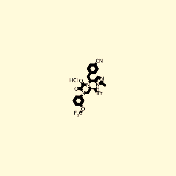 Cc1ncc(C(Cc2ccc(C#N)cc2)N2C(=O)C(=O)N(c3cccc(OC(F)(F)F)c3)C[C@@H]2CC(C)C)[nH]1.Cl